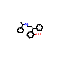 CC(NCC[C@@H](c1ccccc1)c1ccccc1O)c1ccccc1